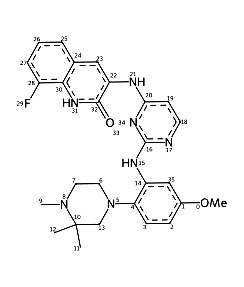 COc1ccc(N2CCN(C)C(C)(C)C2)c(Nc2nccc(Nc3cc4cccc(F)c4[nH]c3=O)n2)c1